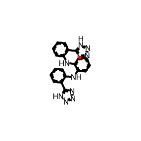 c1ccc(Nc2ccccc2-c2nnn[nH]2)c(Nc2ccccc2-c2nnn[nH]2)c1